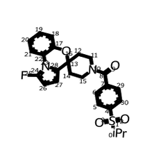 CC(C)S(=O)(=O)c1ccc(C(=O)N2CCC3(CC2)Oc2ccccc2-n2c(F)ccc23)cc1